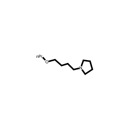 CCCOCCCCN1CCCC1